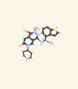 C[C@@H](Nc1nn(C)c(=O)c2cc(=O)n(C3CCOCC3)cc12)c1cccc2sccc12